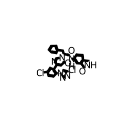 O=C1NCc2ccc(NC(=O)C(Cc3ccccc3)n3cnc(-c4cc(Cl)ccc4-n4cc(Cl)nn4)cc3=O)cc21